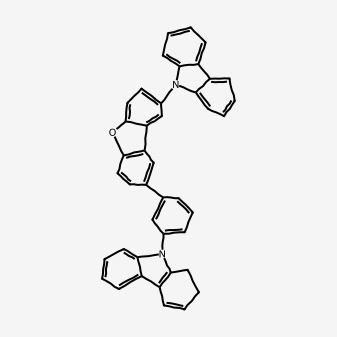 C1=Cc2c(n(-c3cccc(-c4ccc5oc6ccc(-n7c8ccccc8c8ccccc87)cc6c5c4)c3)c3ccccc23)CC1